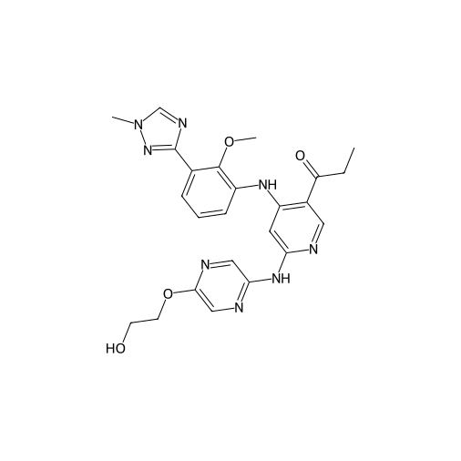 CCC(=O)c1cnc(Nc2cnc(OCCO)cn2)cc1Nc1cccc(-c2ncn(C)n2)c1OC